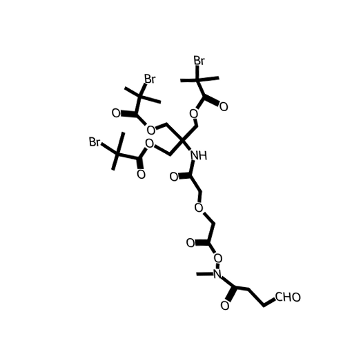 CN(OC(=O)COCC(=O)NC(COC(=O)C(C)(C)Br)(COC(=O)C(C)(C)Br)COC(=O)C(C)(C)Br)C(=O)CCC=O